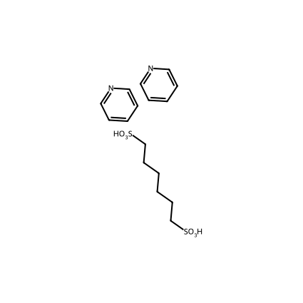 O=S(=O)(O)CCCCCCS(=O)(=O)O.c1ccncc1.c1ccncc1